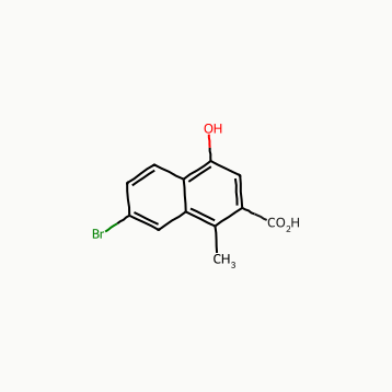 Cc1c(C(=O)O)cc(O)c2ccc(Br)cc12